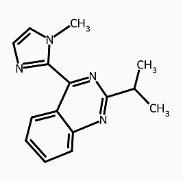 CC(C)c1nc(-c2nccn2C)c2ccccc2n1